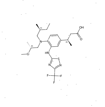 CC[C@H](C)CN(C[C@@H](C)OC)c1ccc([C@H](C)CC(=O)O)cc1Nc1nc(C(F)(F)F)ns1